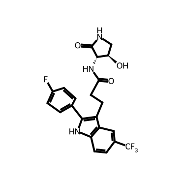 O=C(CCc1c(-c2ccc(F)cc2)[nH]c2ccc(C(F)(F)F)cc12)N[C@@H]1C(=O)NC[C@H]1O